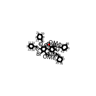 COC(=O)c1c(Br)c(OCc2ccccc2)c(OCc2ccccc2)c(OC)c1-c1c(OC)c(OCc2ccccc2)c(OCc2ccccc2)c(Br)c1C(=O)OC